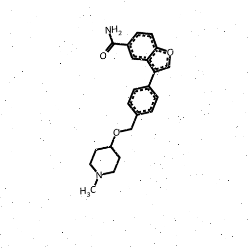 CN1CCC(OCc2ccc(-c3coc4ccc(C(N)=O)cc34)cc2)CC1